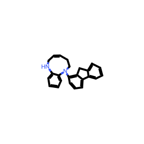 C1=CCNc2ccccc2N(c2cccc3c2Cc2ccccc2-3)CC1